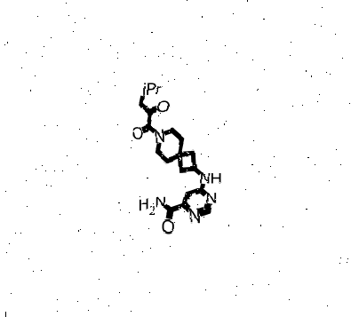 CC(C)CC(=O)C(=O)N1CCC2(CC1)CC(Nc1cc(C(N)=O)ncn1)C2